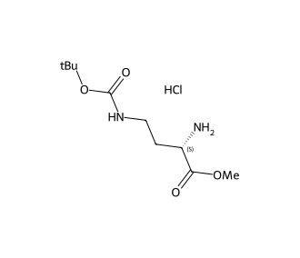 COC(=O)[C@@H](N)CCNC(=O)OC(C)(C)C.Cl